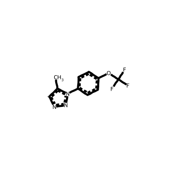 Cc1[c]nnn1-c1ccc(OC(F)(F)F)cc1